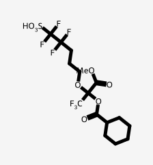 COC(=O)C(OCCCC(F)(F)C(F)(F)S(=O)(=O)O)(OC(=O)C1CCCCC1)C(F)(F)F